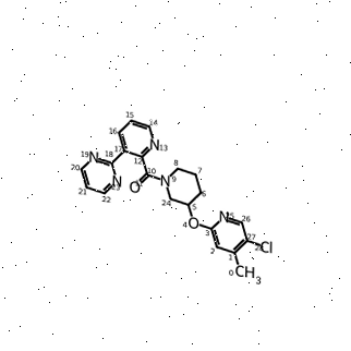 Cc1cc(OC2CCCN(C(=O)c3ncccc3-c3ncccn3)C2)ncc1Cl